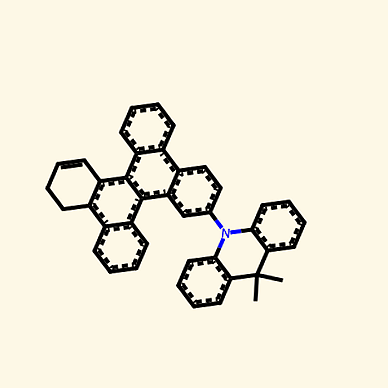 CC1(C)c2ccccc2N(c2ccc3c4ccccc4c4c5c(c6ccccc6c4c3c2)CCC=C5)c2ccccc21